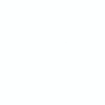 [C]1=C\CC[CH]CCC/1